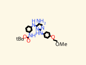 COCCOc1ccc(Nc2ncc(N)c(Nc3cccc(NC(=O)OC(C)(C)C)c3)n2)cc1